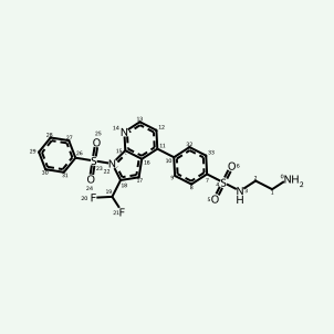 NCCNS(=O)(=O)c1ccc(-c2ccnc3c2cc(C(F)F)n3S(=O)(=O)c2ccccc2)cc1